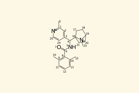 Cc1cc(C(NC(=O)c2c(C)cccc2C)C23CCC(CC2)N3C)ccn1